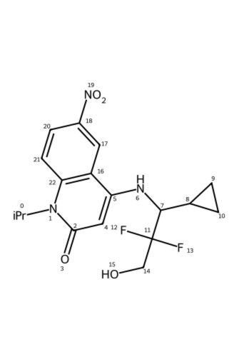 CC(C)n1c(=O)cc(NC(C2CC2)C(F)(F)CO)c2cc([N+](=O)[O-])ccc21